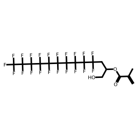 C=C(C)C(=O)OC(CO)CC(F)(F)C(F)(F)C(F)(F)C(F)(F)C(F)(F)C(F)(F)C(F)(F)C(F)(F)C(F)(F)C(F)(F)F